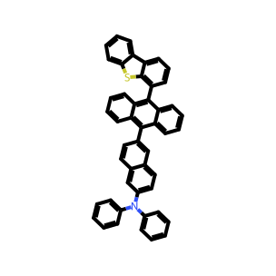 c1ccc(N(c2ccccc2)c2ccc3cc(-c4c5ccccc5c(-c5cccc6c5sc5ccccc56)c5ccccc45)ccc3c2)cc1